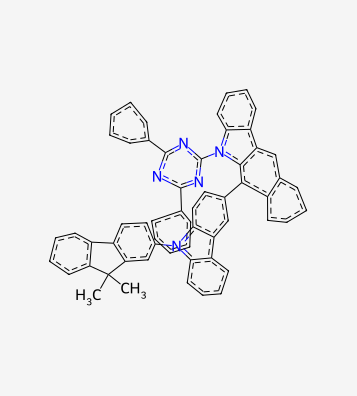 CC1(C)c2ccccc2-c2ccc(-n3c4ccccc4c4cc(-c5c6ccccc6cc6c7ccccc7n(-c7nc(-c8ccccc8)nc(-c8ccccc8)n7)c56)ccc43)cc21